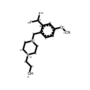 N#COc1ccc(CN2CCN(CCO)CC2)c(C(F)F)c1